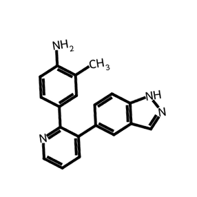 Cc1cc(-c2ncccc2-c2ccc3[nH]ncc3c2)ccc1N